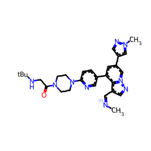 C/N=C\c1cnn2cc(-c3cnn(C)c3)cc(-c3ccc(N4CCN(C(=O)CNC(C)(C)C)CC4)nc3)c12